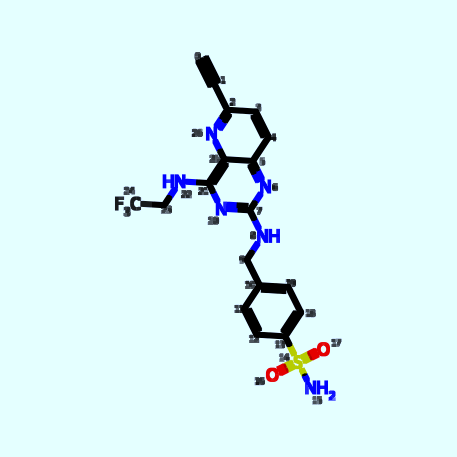 C#Cc1ccc2nc(NCc3ccc(S(N)(=O)=O)cc3)nc(NCC(F)(F)F)c2n1